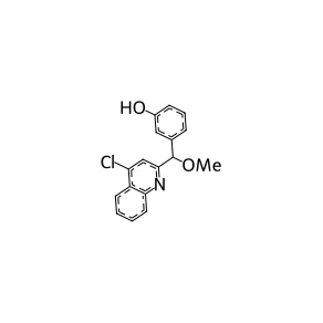 COC(c1cccc(O)c1)c1cc(Cl)c2ccccc2n1